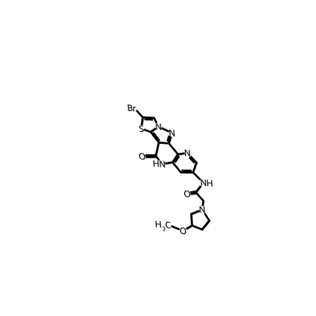 COC1CCN(CC(=O)Nc2cnc3c(c2)[nH]c(=O)c2c3nn3cc(Br)sc23)C1